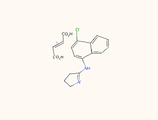 Clc1ccc(NC2=NCCC2)c2ccccc12.O=C(O)/C=C/C(=O)O